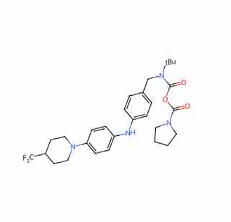 CC(C)(C)N(Cc1ccc(Nc2ccc(N3CCC(C(F)(F)F)CC3)cc2)cc1)C(=O)OC(=O)N1CCCC1